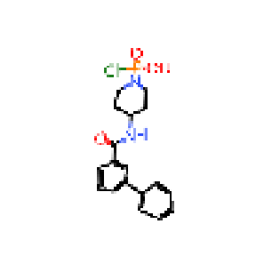 O=C(NC1CCN(P(=O)(O)Cl)CC1)c1cccc(-c2ccccc2)c1